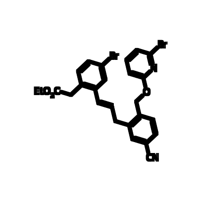 CCOC(=O)Cc1ccc(Br)cc1/C=C/Cc1cc(C#N)ccc1COc1cccc(Br)n1